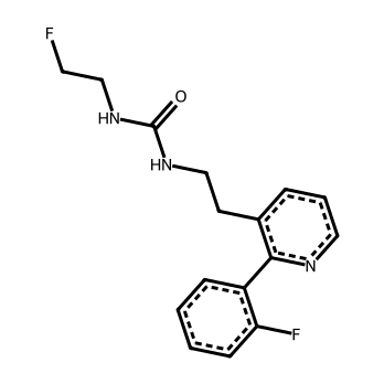 O=C(NCCF)NCCc1cccnc1-c1ccccc1F